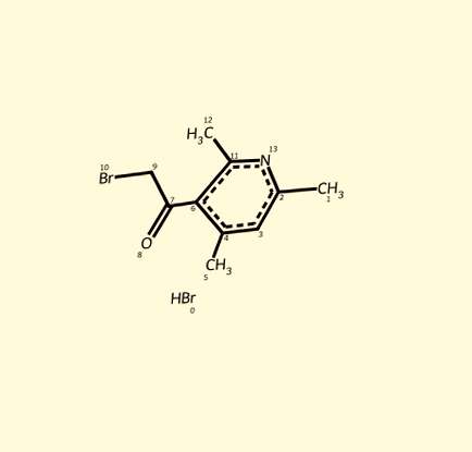 Br.Cc1cc(C)c(C(=O)CBr)c(C)n1